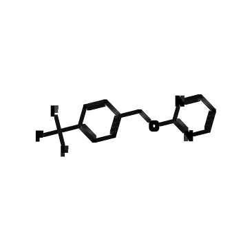 FC(F)(F)c1ccc(COc2ncccn2)cc1